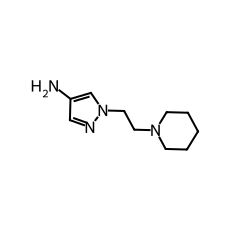 Nc1cnn(CCN2CCCCC2)c1